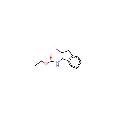 CCOC(=O)NC1c2ccccc2CC1I